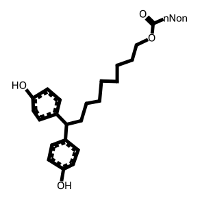 CCCCCCCCCC(=O)OCCCCCCCCC(c1ccc(O)cc1)c1ccc(O)cc1